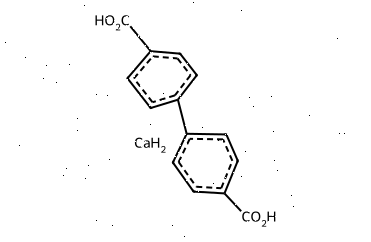 O=C(O)c1ccc(-c2ccc(C(=O)O)cc2)cc1.[CaH2]